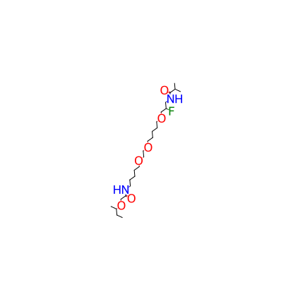 CCC(C)OCC(=O)NCCCCCOCCOCCCCCOCC(F)CNC(=O)C(C)C